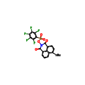 CCCCc1ccc2c3c(cccc13)C(=O)N(OS(=O)(=O)c1c(F)c(F)c(F)c(F)c1F)C2=O